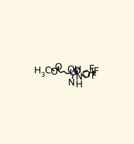 CCOC(=O)CCC/C(O)=C(\C#N)C(=O)Nc1ccc(C(F)(F)F)cc1